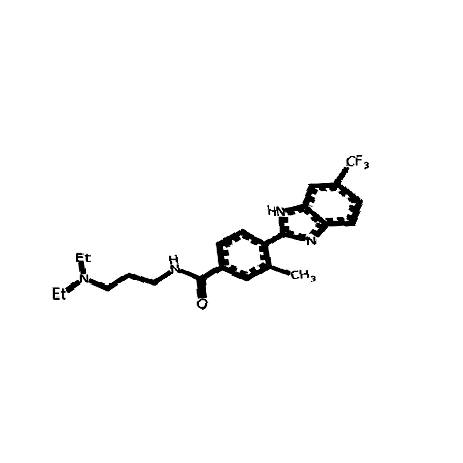 CCN(CC)CCCNC(=O)c1ccc(-c2nc3ccc(C(F)(F)F)cc3[nH]2)c(C)c1